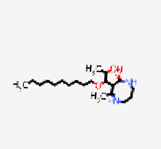 CCCCCCCCCCOC(C(C)O)C1C(=O)NCCC/N=C\1C